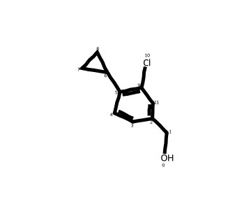 O[CH]c1ccc(C2CC2)c(Cl)c1